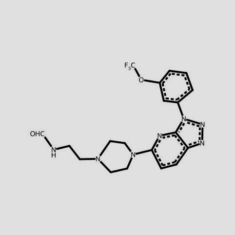 O=CNCCN1CCN(c2ccc3nnn(-c4cccc(OC(F)(F)F)c4)c3n2)CC1